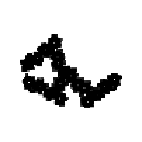 c1ccc2c(c1)oc1cc(-c3ccc4c5ccccc5n(-c5ccc(-c6nc(-c7ccc8cc(-n9c%10ccccc%10c%10ccc(-c%11ccc%12c(c%11)oc%11ccccc%11%12)cc%109)ccc8c7)nc7ccc(-c8ccc9cc(-n%10c%11ccccc%11c%11ccc(-c%12ccc%13c(c%12)oc%12ccccc%12%13)cc%11%10)ccc9c8)cc67)cc5)c4c3)ccc12